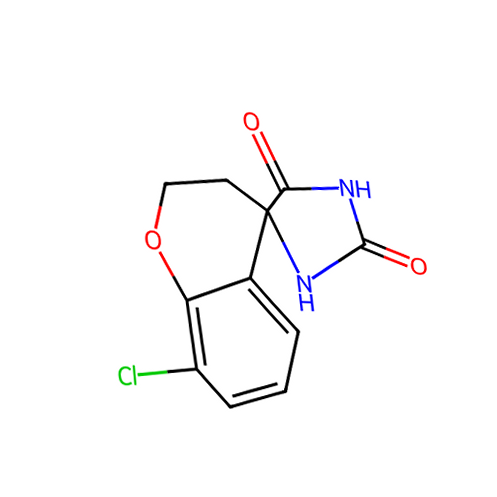 O=C1NC(=O)C2(CCOc3c(Cl)cccc32)N1